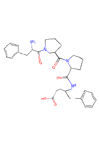 NC(Cc1ccccc1)C(=O)N1CCCC1C(=O)N1CCCC1C(=O)NC(CC(=O)O)Cc1ccccc1